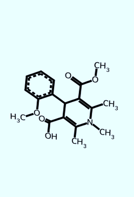 COC(=O)C1=C(C)N(C)C(C)=C(C(=O)O)C1c1ccccc1OC